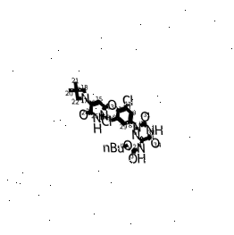 CCCCOC(=O)Nc1nn(-c2cc(Cl)c(Oc3cc(N4CC(C)(C)C4)c(=O)[nH]n3)c(Cl)c2)c(=O)[nH]c1=O